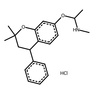 CNC(C)Oc1ccc2c(c1)OC(C)(C)CC2c1ccccc1.Cl